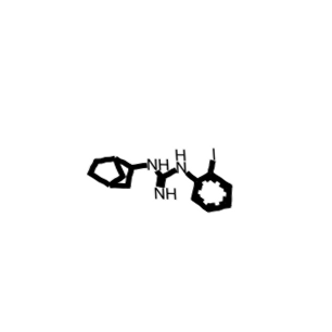 N=C(Nc1ccccc1I)NC1CC2CCC1C2